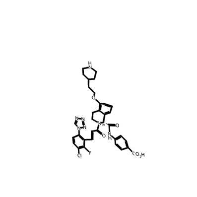 O=C(O)c1ccc(NC(=O)[C@H]2c3cccc(OCCC4CCNCC4)c3CCN2C(=O)C=Cc2c(-n3cnnn3)ccc(Cl)c2F)cc1